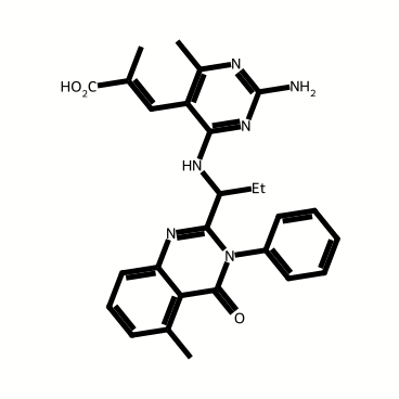 CCC(Nc1nc(N)nc(C)c1/C=C(\C)C(=O)O)c1nc2cccc(C)c2c(=O)n1-c1ccccc1